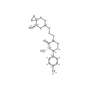 C[C@@H]1C(=O)N(CCCN2CCC3(CC3)[C@H](O)C2)CCN1c1ccc(C(F)(F)F)cc1